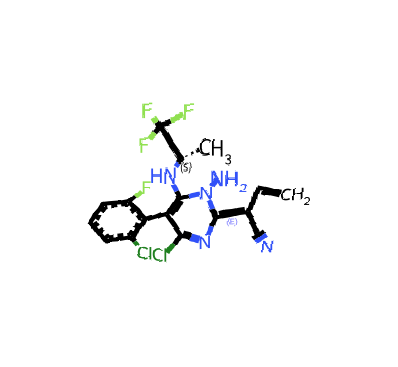 C=C/C(C#N)=C1/N=C(Cl)C(c2c(F)cccc2Cl)=C(N[C@@H](C)C(F)(F)F)N1N